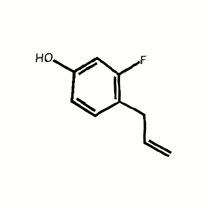 C=CCc1ccc(O)cc1F